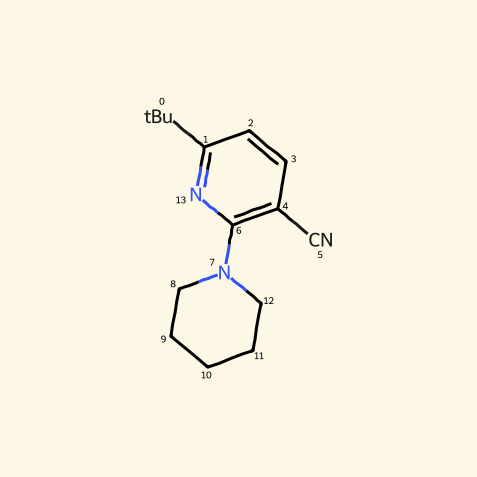 CC(C)(C)c1ccc(C#N)c(N2CCCCC2)n1